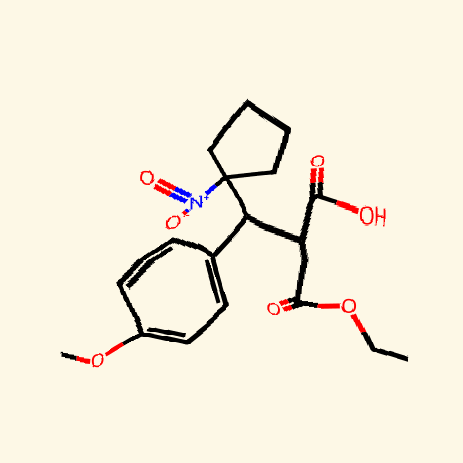 CCOC(=O)C(C(=O)O)C(c1ccc(OC)cc1)C1([N+](=O)[O-])CCCC1